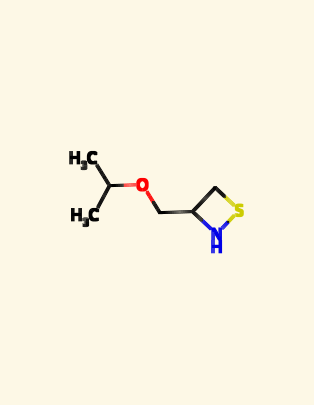 CC(C)OCC1CSN1